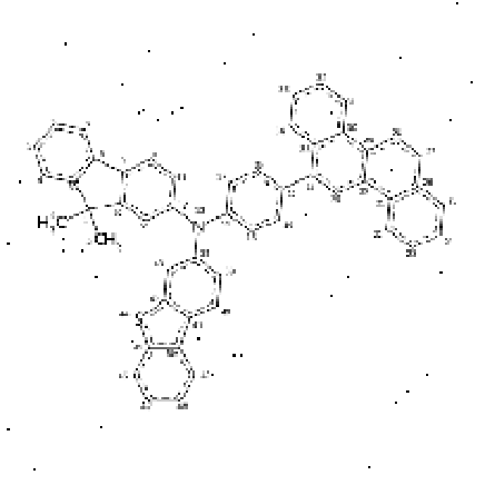 CC1(C)c2ccccc2-c2ccc(N(c3ccc(-c4cc5c6ccccc6ccc5c5ccccc45)cc3)c3ccc4c(c3)sc3ccccc34)cc21